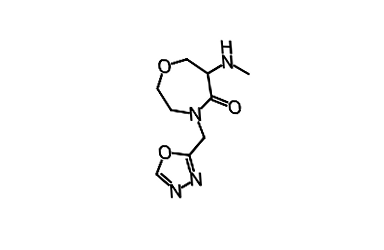 CNC1COCCN(Cc2nnco2)C1=O